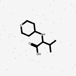 CC(C)C(NC1CCOCC1)C(=O)O